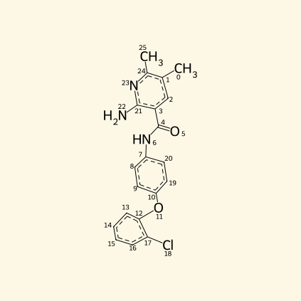 Cc1cc(C(=O)Nc2ccc(Oc3ccccc3Cl)cc2)c(N)nc1C